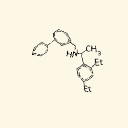 CCc1ccc(C(C)NCc2cccc(-c3ccccc3)c2)c(CC)c1